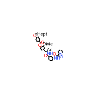 CCCCCCCOc1ccc(C(=O)Oc2ccc(CC(NC(=O)c3cccc(NC(=O)c4cnn5ccccc45)c3)C(C)=O)cc2OC)cc1